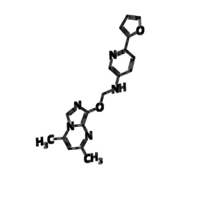 Cc1cc(C)n2cnc(OCNc3ccc(-c4ccco4)nc3)c2n1